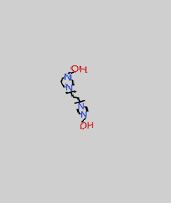 CC(C)(CCC(C)(C)N1CCN(CCO)CC1)N1CCCN(CCO)CC1